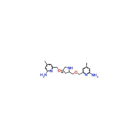 Cc1cc(N)nc(COCC2C[C@@H](OCc3cc(C)cc(N)n3)CN2)c1